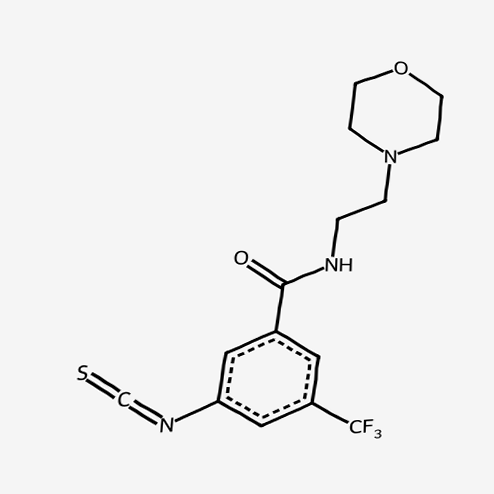 O=C(NCCN1CCOCC1)c1cc(N=C=S)cc(C(F)(F)F)c1